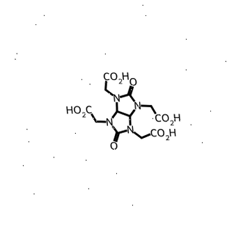 O=C(O)CN1C(=O)N(CC(=O)O)C2C1N(CC(=O)O)C(=O)N2CC(=O)O